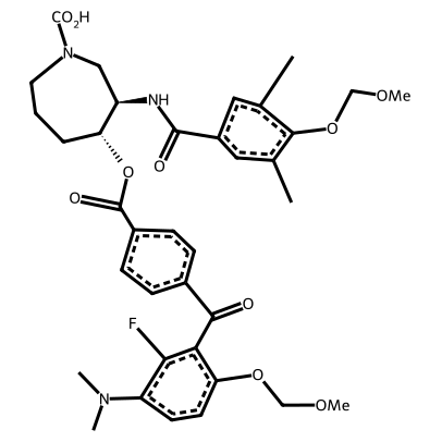 COCOc1ccc(N(C)C)c(F)c1C(=O)c1ccc(C(=O)O[C@@H]2CCCN(C(=O)O)C[C@H]2NC(=O)c2cc(C)c(OCOC)c(C)c2)cc1